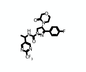 CC(NC(=O)N1C[C@H](N2CCOCC2=O)C(c2ccc(F)cc2)=N1)c1cnc(C(F)(F)F)nc1